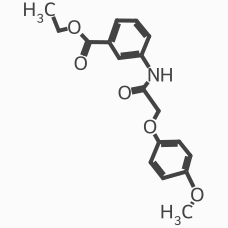 CCOC(=O)c1cccc(NC(=O)COc2ccc(OC)cc2)c1